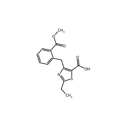 CCc1nc(Cc2ccccc2C(=O)OC)c(C(=O)O)s1